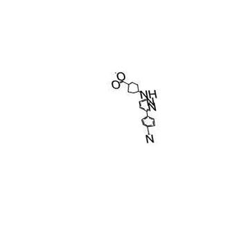 COC(=O)C1CCC(Nc2ccc(-c3ccc(C#N)cc3)nn2)CC1